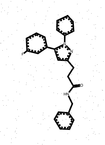 O=C(CCc1cc(-c2cccc(F)c2)n(-c2ccccc2)n1)NCc1ccccc1